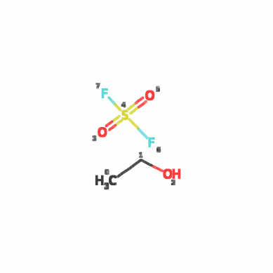 CCO.O=S(=O)(F)F